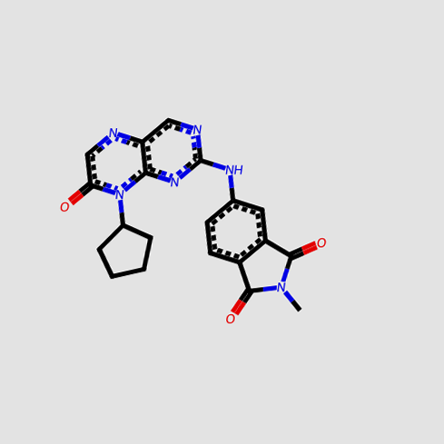 CN1C(=O)c2ccc(Nc3ncc4ncc(=O)n(C5CCCC5)c4n3)cc2C1=O